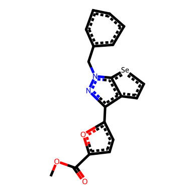 COC(=O)c1ccc(-c2nn(Cc3ccccc3)c3[se]ccc23)o1